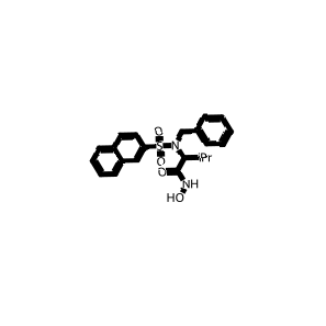 CC(C)C(C(=O)NO)N(Cc1ccccc1)S(=O)(=O)c1ccc2ccccc2c1